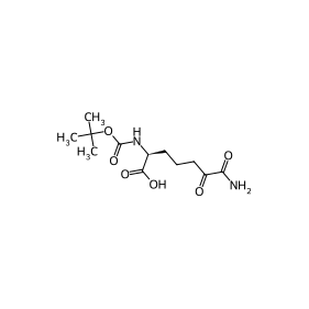 CC(C)(C)OC(=O)N[C@@H](CCCC(=O)C(N)=O)C(=O)O